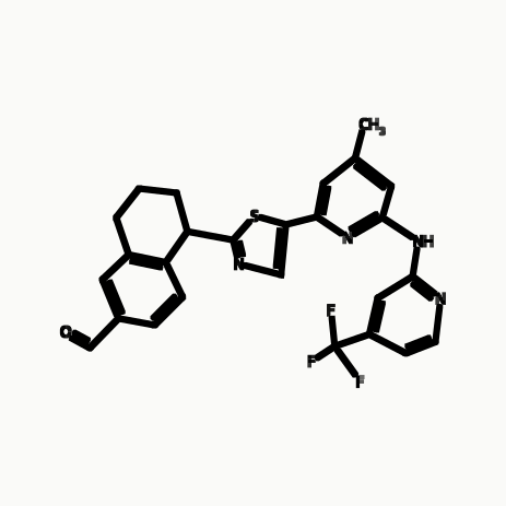 Cc1cc(Nc2cc(C(F)(F)F)ccn2)nc(-c2cnc(C3CCCc4cc(C=O)ccc43)s2)c1